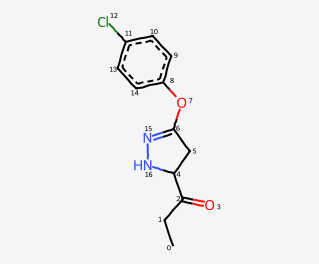 CCC(=O)C1CC(Oc2ccc(Cl)cc2)=NN1